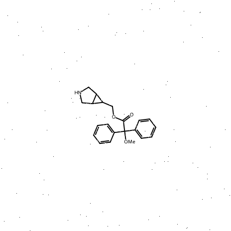 COC(C(=O)OCC1C2CNCC21)(c1ccccc1)c1ccccc1